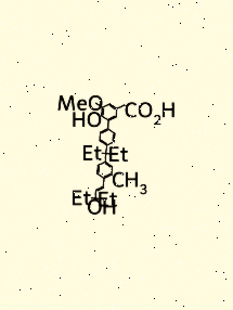 CCC(O)(C=Cc1ccc(C(CC)(CC)c2ccc(-c3cc(CC(=O)O)cc(OC)c3O)cc2)cc1C)CC